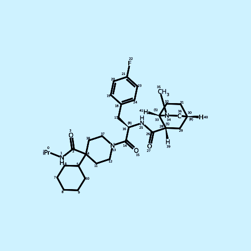 CC(C)NC(=O)C1(C2CCCCC2)CCN(C(=O)[C@@H](Cc2ccc(F)cc2)NC(=O)[C@H]2C[C@H]3CC[C@@H]2N(C)C3)CC1